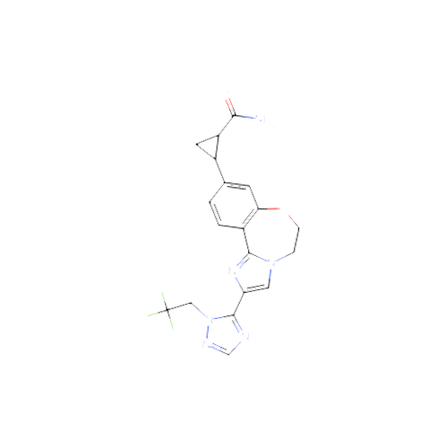 NC(=O)C1CC1c1ccc2c(c1)OCCn1cc(-c3ncnn3CC(F)(F)F)nc1-2